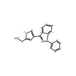 OCc1cc(-c2nn(-c3ccccc3)c3ccccc23)co1